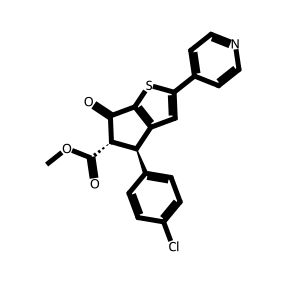 COC(=O)[C@@H]1C(=O)c2sc(-c3ccncc3)cc2[C@H]1c1ccc(Cl)cc1